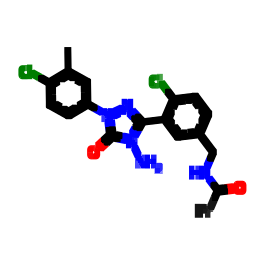 Cc1cc(-n2nc(-c3cc(CNC(=O)C(C)C)ccc3Cl)n(N)c2=O)ccc1Cl